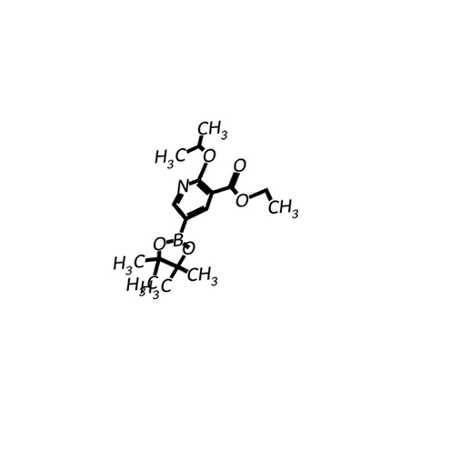 CCOC(=O)c1cc(B2OC(C)(C)C(C)(C)O2)cnc1OC(C)C